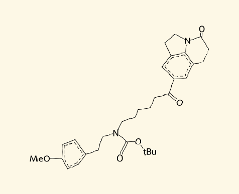 COc1ccc(CCN(CCCCCC(=O)c2cc3c4c(c2)CCN4C(=O)CC3)C(=O)OC(C)(C)C)cc1